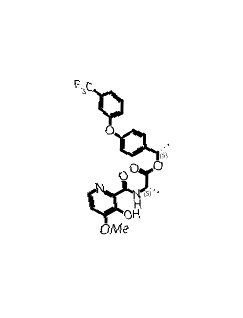 COc1ccnc(C(=O)N[C@@H](C)C(=O)O[C@@H](C)c2ccc(Oc3cccc(C(F)(F)F)c3)cc2)c1O